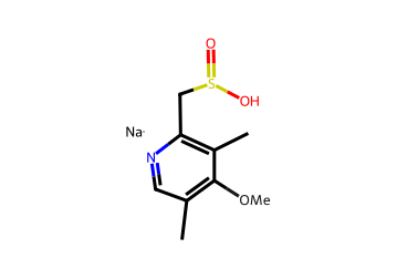 COc1c(C)cnc(CS(=O)O)c1C.[Na]